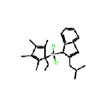 CC[C]1([Zr]([Cl])([Cl])[CH]2C(CC(C)C)=Cc3ccccc32)C(C)=C(C)C(C)=C1C